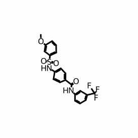 COc1cccc(S(=O)(=O)Nc2ccc(C(=O)Nc3cccc(C(F)(F)F)c3)cc2)c1